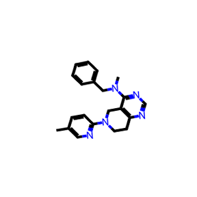 Cc1ccc(N2CCc3ncnc(N(C)Cc4ccccc4)c3C2)nc1